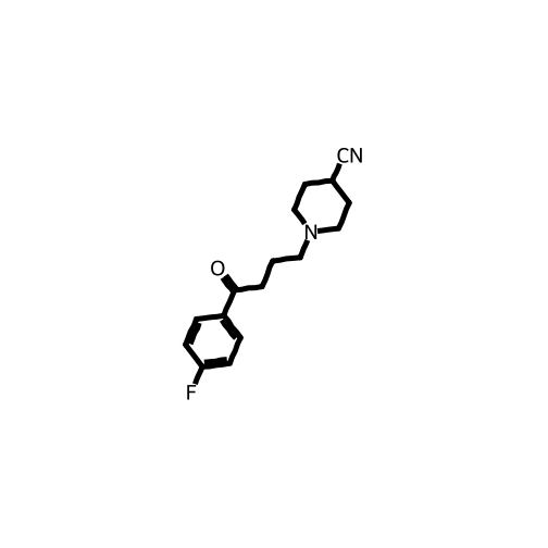 N#CC1CCN(CCCC(=O)c2ccc(F)cc2)CC1